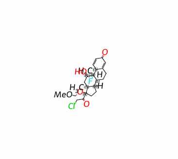 COCO[C@]1(C(=O)CCl)CC[C@H]2[C@@H]3CCC4=CC(=O)C=C[C@]4(C)[C@@]3(F)[C@@H](O)C[C@@]21C